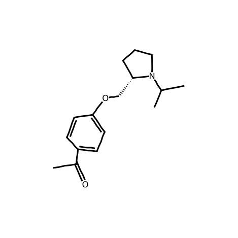 CC(=O)c1ccc(OC[C@@H]2CCCN2C(C)C)cc1